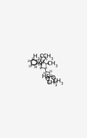 CC[Si](CC)(CC)N(CCCC[SiH](OC)OC)c1ccccc1